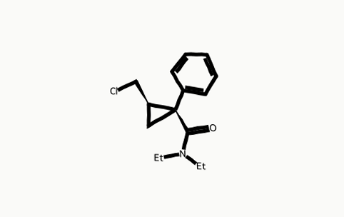 CCN(CC)C(=O)[C@@]1(c2ccccc2)C[C@H]1CCl